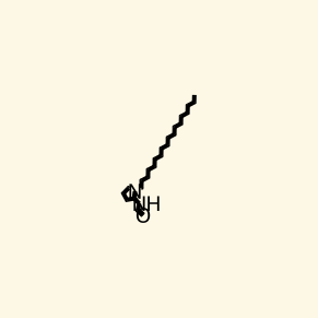 CCCCCCCCCCCCCCCCCCN1CCCC1NC=O